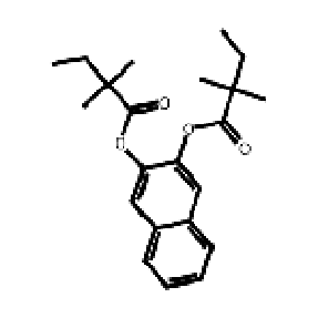 CCC(C)(C)C(=O)Oc1cc2ccccc2cc1OC(=O)C(C)(C)CC